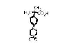 CC(C)(C(=O)O)c1ccc(N2CCS(=O)(=O)CC2)cc1